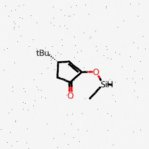 C[SiH](C)OC1=C[C@@H](C(C)(C)C)CC1=O